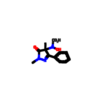 CN1N=C(c2ccccc2)C(C)(N(O)C(=O)O)C1=O